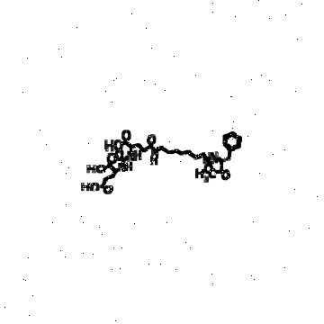 CC(=O)[C@H](Cc1ccccc1)NC(=O)CCCCCCCNC(=O)CCC(NC(=O)NC(CCC(=O)O)C(=O)O)C(=O)O